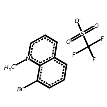 C[n+]1cccc2cccc(Br)c21.O=S(=O)([O-])C(F)(F)F